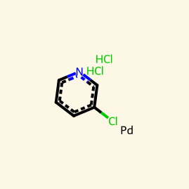 Cl.Cl.Clc1cccnc1.[Pd]